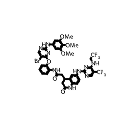 COc1cc(Nc2ncc(Br)c(Oc3ccccc3NC(=O)CC3CC(=O)Nc4ccc(Nc5ncc(C(F)(F)F)c(NCC(F)(F)F)n5)cc43)n2)cc(OC)c1OC